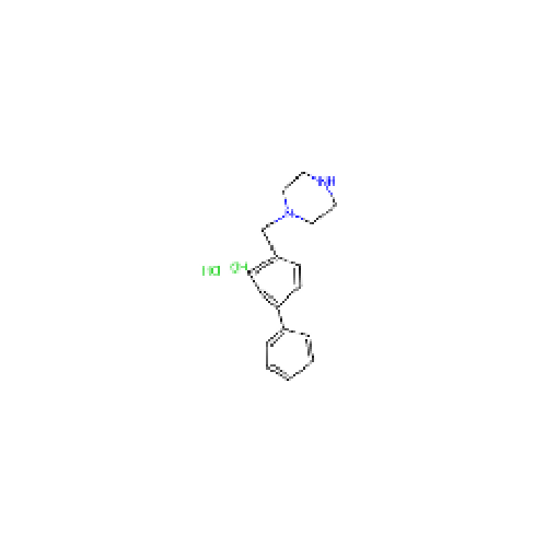 Cl.Cl.c1ccc(-c2ccc(CN3CCNCC3)cc2)cc1